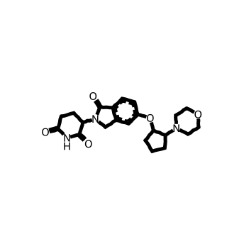 O=C1CCC(N2Cc3cc(OC4CCCC4N4CCOCC4)ccc3C2=O)C(=O)N1